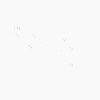 CC(C)(C)c1cc(NC(=O)Nc2ccc(ON3C=NC=C4NNC=C43)c(F)c2)on1